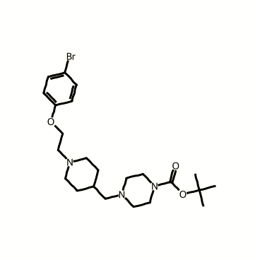 CC(C)(C)OC(=O)N1CCN(CC2CCN(CCOc3ccc(Br)cc3)CC2)CC1